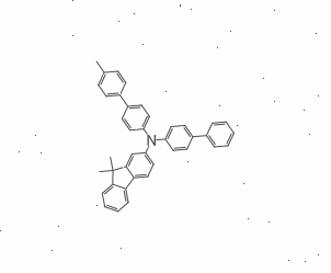 Cc1ccc(-c2ccc(N(c3ccc(-c4ccccc4)cc3)c3ccc4c(c3)C(C)(C)c3ccccc3-4)cc2)cc1